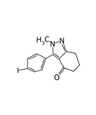 Cn1nc2c(c1-c1ccc(I)cc1)C(=O)CCC2